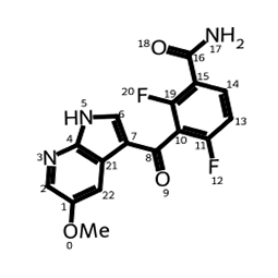 COc1cnc2[nH]cc(C(=O)c3c(F)ccc(C(N)=O)c3F)c2c1